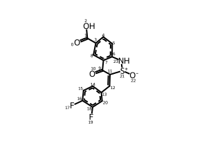 O=C(O)c1ccc2c(c1)C(=O)/C(=C\c1ccc(F)c(F)c1)[S+]([O-])N2